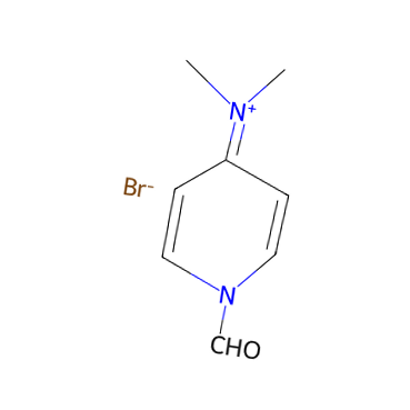 C[N+](C)=c1ccn(C=O)cc1.[Br-]